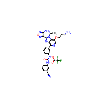 CCn1c(-c2nonc2N)nc2c(-c3cccc(N(OC(=O)C(F)(F)F)C(=O)Nc4cccc(C#N)c4)c3)ncc(OCCCN)c21